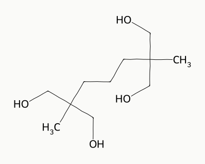 CC(CO)(CO)CCCC(C)(CO)CO